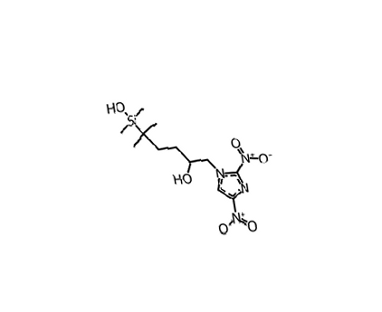 CC(C)(CCC(O)Cn1cc([N+](=O)[O-])nc1[N+](=O)[O-])[Si](C)(C)O